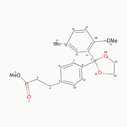 COC(=O)CCc1ccc(C2(c3cc(C(C)(C)C)ccc3OC)OCCO2)cc1